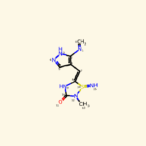 C=Nc1[nH]ncc1/C=C1\NC(=O)N(C)S1=N